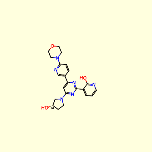 Oc1ncccc1-c1nc(-c2ccc(N3CCOCC3)nc2)cc(N2CC[C@H](O)C2)n1